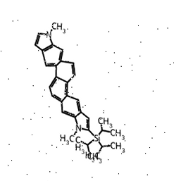 CC(C)[Si](c1cc2cc3c(ccc4c5cc6ccn(C)c6cc5ccc34)cc2n1C)(C(C)C)C(C)C